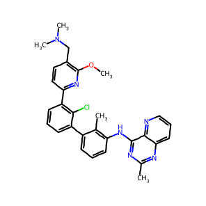 COc1nc(-c2cccc(-c3cccc(Nc4nc(C)nc5cccnc45)c3C)c2Cl)ccc1CN(C)C